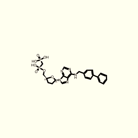 O=P(O)(O)CP(=O)(O)OC[C@@H]1CC[C@H](n2cnc3c(NCc4ccc(-c5ccccc5)cc4)ncnc32)O1